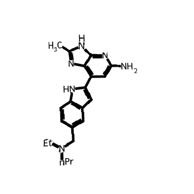 CCCN(CC)Cc1ccc2[nH]c(-c3cc(N)nc4[nH]c(C)nc34)cc2c1